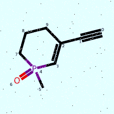 C#CC1=CP(C)(=O)CCC1